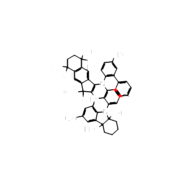 Cc1cc2c3c(c1)N1c4c(cc(C(C)(C)C)cc4C4(C)CCCCC14C)B3C1=C(c3cc4c(cc3C1(C)C)C(C)(C)CCC4(C)C)N2c1ccc(C(C)(C)C)cc1-c1ccccc1